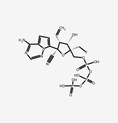 C=C[C@@H]1[C@H](O)[C@@](CF)(COP(=O)(O)OP(=O)(O)OP(=O)(O)O)O[C@@]1(C#N)c1ccc2c(N)ncnn12